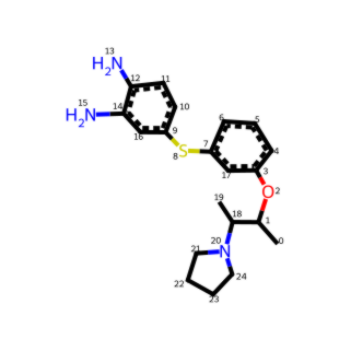 CC(Oc1cccc(Sc2ccc(N)c(N)c2)c1)C(C)N1CCCC1